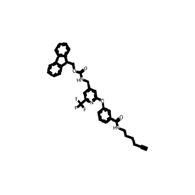 C#CCCCCNC(=O)c1cccc(Oc2cc(CNC(=O)OCC3c4ccccc4-c4ccccc43)cc(C(F)(F)F)n2)c1